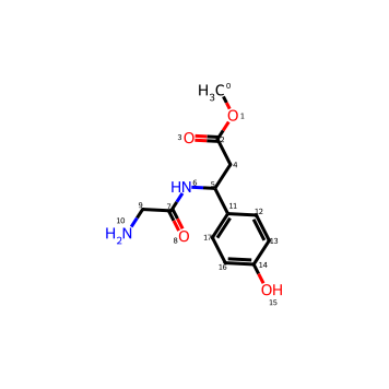 COC(=O)CC(NC(=O)CN)c1ccc(O)cc1